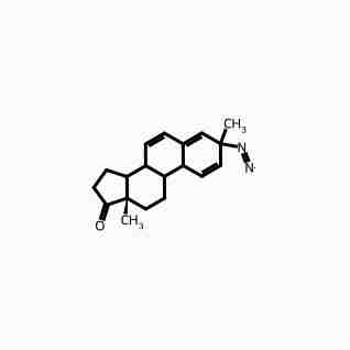 CC1(N=[N])C=CC2C(=C1)C=CC1C2CC[C@]2(C)C(=O)CCC12